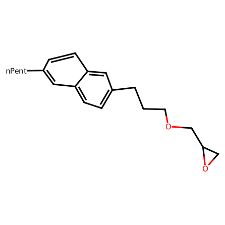 CCCCCc1ccc2cc(CCCOCC3CO3)ccc2c1